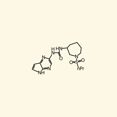 CCCS(=O)(=O)N1CCCCC(NC(=O)Nc2cnc3[nH]ccc3n2)C1